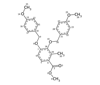 COC(=O)c1ccc(OCc2ccc(OC)cc2)c(OCc2ccc(OC)cc2)c1C